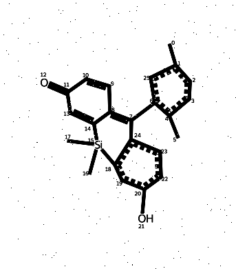 Cc1ccc(C)c(C2=C3C=CC(=O)C=C3[Si](C)(C)c3cc(O)ccc32)c1